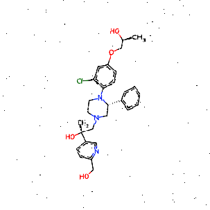 C[C@H](O)COc1ccc(N2CCN(C[C@@](C)(O)c3ccc(CO)nc3)C[C@H]2c2ccccc2)c(Cl)c1